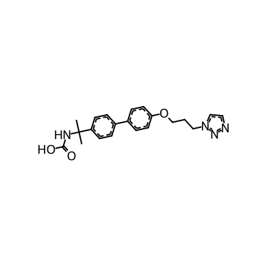 CC(C)(NC(=O)O)c1ccc(-c2ccc(OCCCn3ccnn3)cc2)cc1